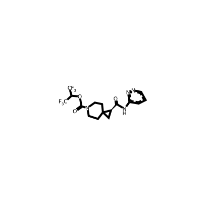 O=C(Nc1cccnn1)[C@H]1CC12CCN(C(=O)OC(C(F)(F)F)C(F)(F)F)CC2